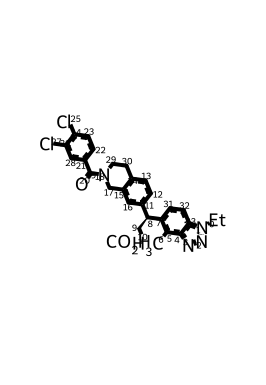 CCn1nnc2c(C)c([C@@H](CC(=O)O)c3ccc4c(c3)CN(C(=O)c3ccc(Cl)c(Cl)c3)CC4)ccc21